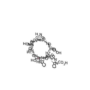 CC(C)C[C@@H]1NC(=O)[C@H](CNO)NC(=O)[C@@H]2CCCN2C(=O)[C@H](CC(N)=O)NC(=O)[C@H](C)N(C)C(=O)[C@H](Cc2ccc(O)cc2)C(N)CC[C@@H](C(=O)N[C@@H](Cc2cn(CC(=O)O)c3ccccc23)C(=O)N(C)C)NC(=O)[C@H](Cc2c[nH]c3ccccc23)NC(=O)[C@@H]2C[C@@H](O)CN2C1=O